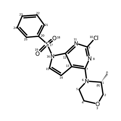 C[C@@H]1COCCN1c1nc(Cl)nc2c1ccn2S(=O)(=O)c1ccccc1